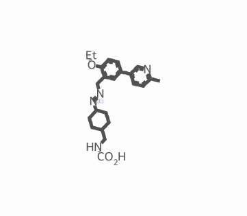 CCOc1ccc(-c2ccc(C)nc2)cc1C/N=N/C1CCC(CNC(=O)O)CC1